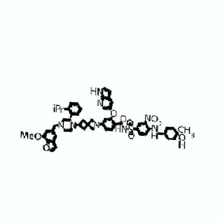 COc1cc(CN2CCN(C3CC4(C3)CN(c3ccc(C(=O)NS(=O)(=O)c5ccc(NCC6CCC(C)(O)CC6)c([N+](=O)[O-])c5)c(Oc5cnc6[nH]ccc6c5)c3)C4)[C@H](c3ccccc3C(C)C)C2)cc2ccoc12